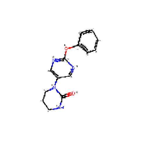 O=C1NCCCN1c1cnc(Oc2ccccc2)nc1